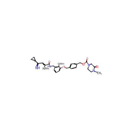 CN/C(=C\C(=N)C1CC1)C(=O)NCc1cccc(OCc2ccc(COC(=O)N3CCN(C)C(=O)C3)cc2)c1OC